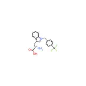 N[C@@H](Cc1cn(Cc2ccc(C(F)(F)F)cc2)c2ccccc12)C(=O)O